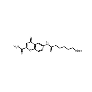 CCCCCCCCCCCCCCCC(=O)Nc1ccc2oc(C(N)=S)cc(=O)c2c1